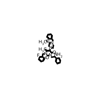 COc1ccccc1CN1CCN(c2c(C)n(Cc3c(F)cccc3F)c(=O)n(CC(N)c3ccccc3)c2=O)CC1